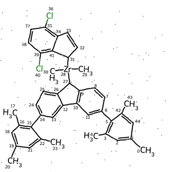 Cc1cc(C)c(-c2ccc3c(c2)-c2cc(-c4c(C)cc(C)cc4C)ccc2[CH]3[Zr]([CH3])([CH3])[CH]2C=Cc3c(Cl)ccc(Cl)c32)c(C)c1